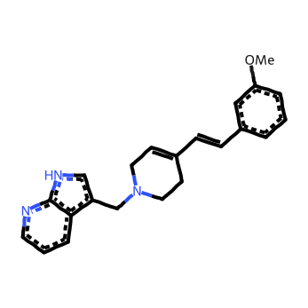 COc1cccc(/C=C/C2=CCN(Cc3c[nH]c4ncccc34)CC2)c1